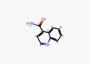 NC(=O)c1ccnc2ccccc12